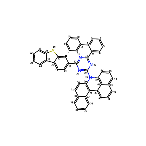 c1ccc(-c2ccccc2-c2nc(-c3ccc4c(c3)sc3ccccc34)nc(N3c4ccc5ccccc5c4-c4cccc5cccc3c45)n2)cc1